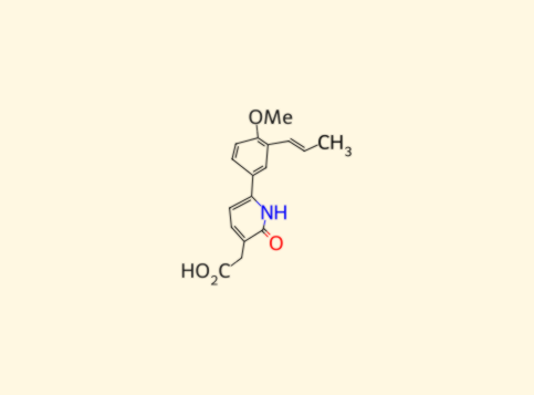 C/C=C/c1cc(-c2ccc(CC(=O)O)c(=O)[nH]2)ccc1OC